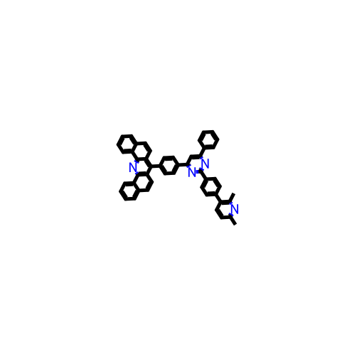 Cc1ccc(-c2ccc(-c3nc(-c4ccccc4)cc(-c4ccc(-c5c6ccc7ccccc7c6nc6c5ccc5ccccc56)cc4)n3)cc2)c(C)n1